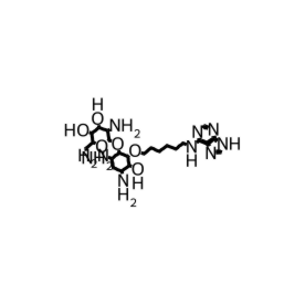 NCC1OC(OC2C(N)CC(N)C(O)C2OCCCCCCNc2ncnc3[nH]cnc23)C(N)C(O)C1O